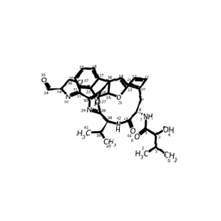 CC(C)C(O)C(=O)N[C@H]1Cc2ccc3c(c2)C2(c4ccccc4NC2O3)c2oc(nc2C2=N[C@@H](C=O)CO2)[C@H](C(C)C)NC1=O